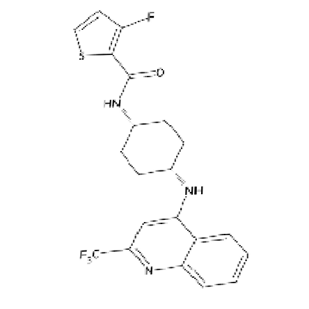 O=C(N[C@H]1CC[C@@H](Nc2cc(C(F)(F)F)nc3ccccc23)CC1)c1sccc1F